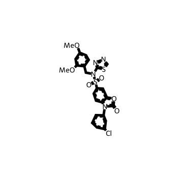 COc1ccc(CN(c2nncs2)S(=O)(=O)c2ccc3c(c2)oc(=O)n3-c2cccc(Cl)c2)c(OC)c1